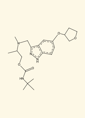 CC(COC(=O)NC(C)(C)C)N(C)Cc1n[nH]c2ccc(OC3CCOC3)cc12